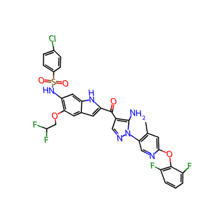 Cc1cc(Oc2c(F)cccc2F)ncc1-n1ncc(C(=O)c2cc3cc(OCC(F)F)c(NS(=O)(=O)c4ccc(Cl)cc4)cc3[nH]2)c1N